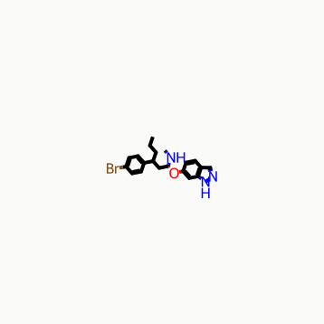 CCCC(CC(NC)Oc1ccc2cn[nH]c2c1)c1ccc(Br)cc1